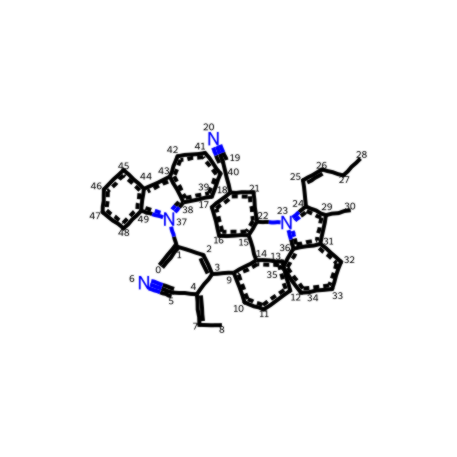 C=C(/C=C(\C(C#N)=C/C)c1ccccc1-c1ccc(C#N)cc1-n1c(/C=C\CC)c(C)c2ccccc21)n1c2ccccc2c2ccccc21